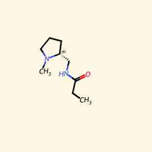 CCC(=O)NC[C@H]1CCCN1C